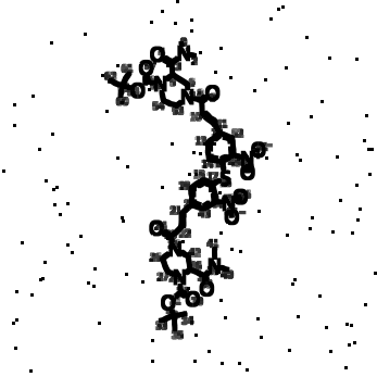 CN(C)C(=O)C1CN(C(=O)/C=C/c2ccc(Sc3ccc(/C=C/C(=O)N4CCN(C(=O)OC(C)(C)C)C(C(=O)N(C)C)C4)cc3[N+](=O)[O-])c([N+](=O)[O-])c2)CCN1C(=O)OC(C)(C)C